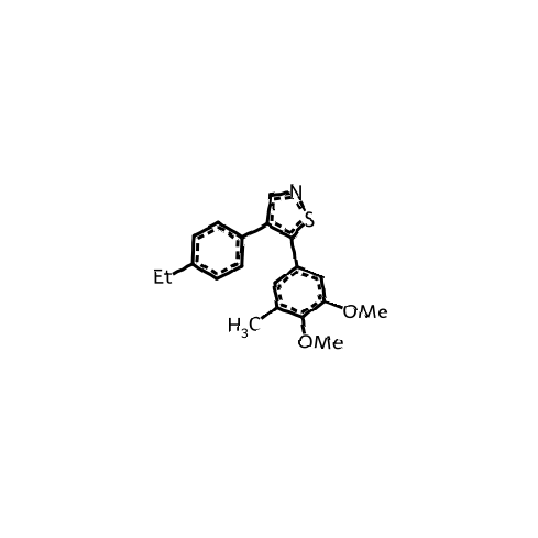 CCc1ccc(-c2cnsc2-c2cc(C)c(OC)c(OC)c2)cc1